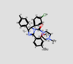 CCOc1cc(C(C)(C)C)ccc1C1=N[C@@](C)(c2ccc(C)cc2)[C@@](C)(c2ccc(Cl)cc2)N1C(=O)N1CCN(C(C)C)CC1